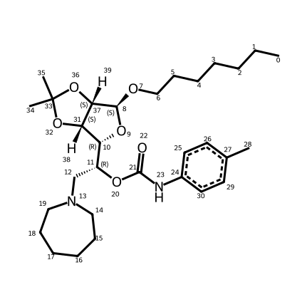 CCCCCCCO[C@H]1O[C@H]([C@@H](CN2CCCCCC2)OC(=O)Nc2ccc(C)cc2)[C@@H]2OC(C)(C)O[C@H]12